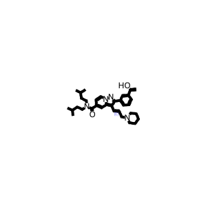 C=C(O)c1cccc(-c2nn3ccc(C(=O)N(CCC(C)C)CCC(C)C)cc3c2/C=C/CN2CCCCC2)c1